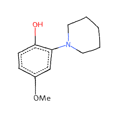 COc1ccc(O)c(N2CCCCC2)c1